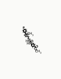 CCOC(=O)c1ccc(NC(=O)NCCCN2CCC(c3ccc(F)cc3)=C2C)cc1